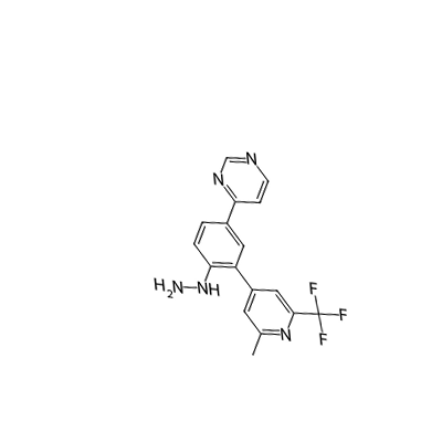 Cc1cc(-c2cc(-c3ccncn3)ccc2NN)cc(C(F)(F)F)n1